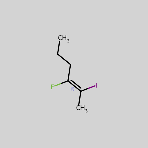 CCC/C(F)=C(/C)I